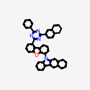 C1=Cc2cc(-c3nc(-c4ccccc4)nc(-c4cccc5oc6c(-n7c8ccccc8c8cc9ccccc9cc87)cccc6c45)n3)ccc2CC1